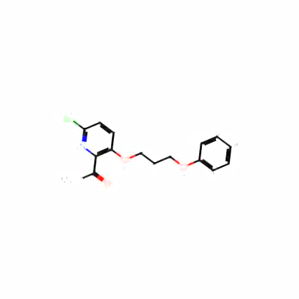 COC(=O)c1nc(Br)ccc1OCCCOc1ccccc1